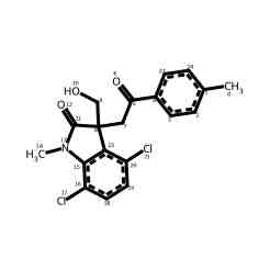 Cc1ccc(C(=O)CC2(CO)C(=O)N(C)c3c(Cl)ccc(Cl)c32)cc1